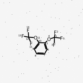 FC(F)(F)Oc1c[c]ccc1OC(F)(F)F